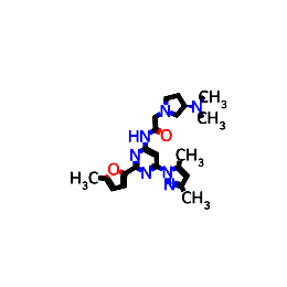 Cc1cc(C)n(-c2cc(NC(=O)CN3CC[C@@H](N(C)C)C3)nc(-c3ccc(C)o3)n2)n1